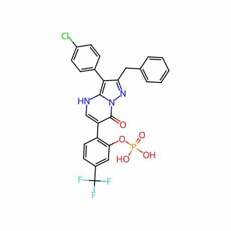 O=c1c(-c2ccc(C(F)(F)F)cc2OP(=O)(O)O)c[nH]c2c(-c3ccc(Cl)cc3)c(Cc3ccccc3)nn12